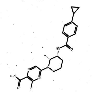 C[C@@H]1[C@H](NC(=O)c2ccc(C3CC3)cc2)CCCN1c1cnc(C(N)=O)c(Cl)n1